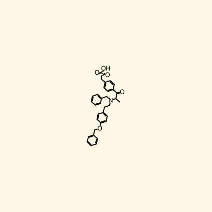 CC(C(=O)c1ccc(CS(=O)(=O)O)cc1)N(CCc1ccc(OCc2ccccc2)cc1)Cc1ccccc1